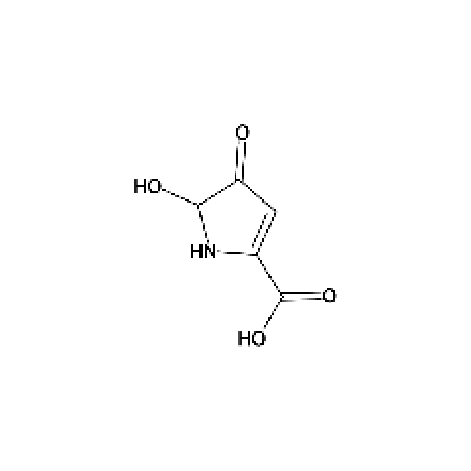 O=C(O)C1=CC(=O)C(O)N1